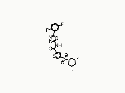 C[C@@H]1C[C@H](C)CN(S(=O)(=O)c2csc(C(=O)Nc3nnc(-c4cc(F)ccc4F)o3)c2)C1